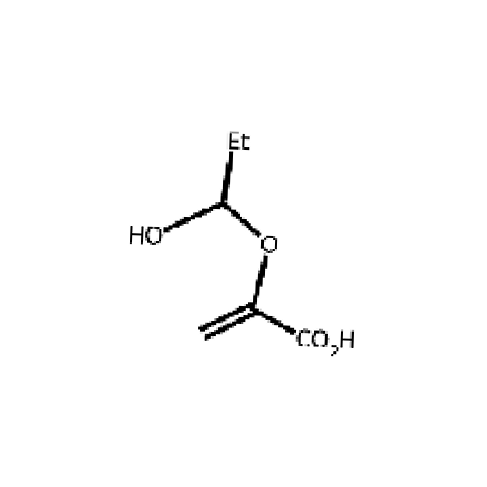 C=C(OC(O)CC)C(=O)O